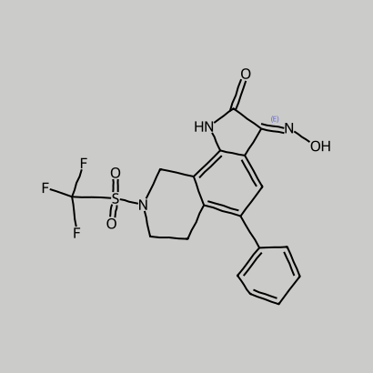 O=C1Nc2c(cc(-c3ccccc3)c3c2CN(S(=O)(=O)C(F)(F)F)CC3)/C1=N\O